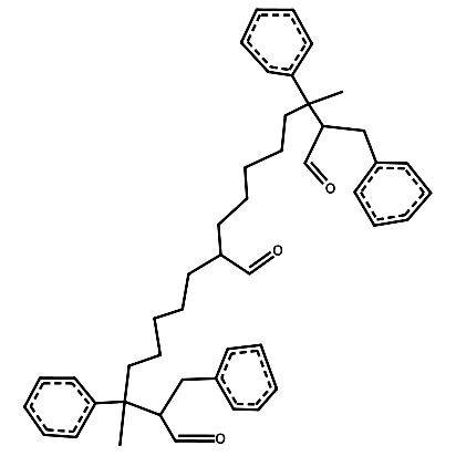 CC(CCCCCC(C=O)CCCCCC(C)(c1ccccc1)C(C=O)Cc1ccccc1)(c1ccccc1)C(C=O)Cc1ccccc1